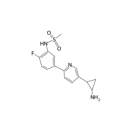 CS(=O)(=O)Nc1cc(-c2ccc(C3CC3N)cn2)ccc1F